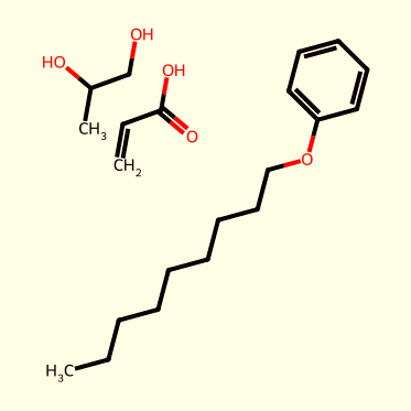 C=CC(=O)O.CC(O)CO.CCCCCCCCCOc1ccccc1